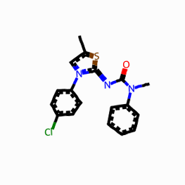 Cc1cn(-c2ccc(Cl)cc2)c(=NC(=O)N(C)c2ccccc2)s1